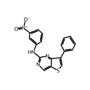 O=[N+]([O-])c1cccc(Nc2ncc3scc(-c4ccccc4)c3n2)c1